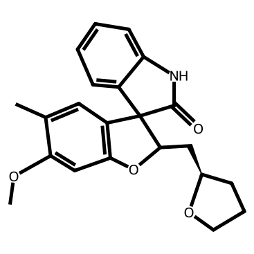 COc1cc2c(cc1C)C1(C(=O)Nc3ccccc31)C(C[C@H]1CCCO1)O2